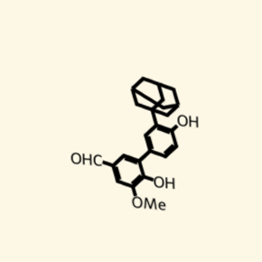 COc1cc(C=O)cc(-c2ccc(O)c(C34CC5CC(CC(C5)C3)C4)c2)c1O